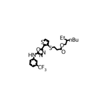 CCCCC(CC)COC(=O)CCSc1ccsc1-c1nnc(Nc2cccc(C(F)(F)F)c2)o1